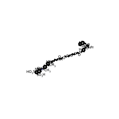 CCCNC(=O)[C@H](Cc1ccc2ccccc2c1)NC(=O)C1CCC(CNC(=O)CCOCCOCCOCCOCCC(=O)NCCCCCC(=O)Nc2ccc(-c3ccc(/N=N/c4ccc5c(S(=O)(=O)O)cc(S(=O)(=O)O)c(N)c5c4O)c(C)c3)cc2C)CC1